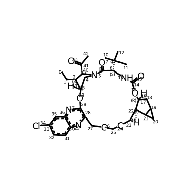 CC[C@@H]1[C@@H]2CN(C(=O)[C@H](C(C)(C)C)NC(=O)O[C@@H]3CC4CC4[C@H]3CCCCCc3nc4ccc(Cl)cc4nc3O2)[C@@H]1C(C)=O